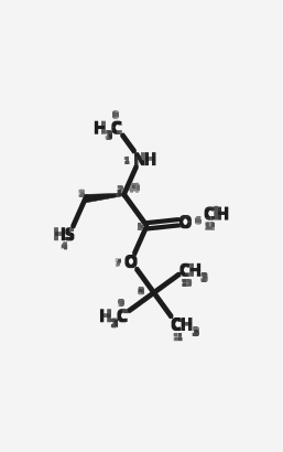 CN[C@H](CS)C(=O)OC(C)(C)C.Cl